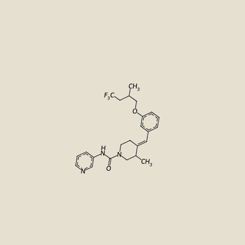 CC(COc1cccc(/C=C2\CCN(C(=O)Nc3cccnc3)CC2C)c1)CC(F)(F)F